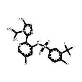 CC(C)n1c(N)nnc1-c1ncc(Cl)cc1NS(=O)(=O)c1ccc(Cl)c(C(F)(F)F)c1